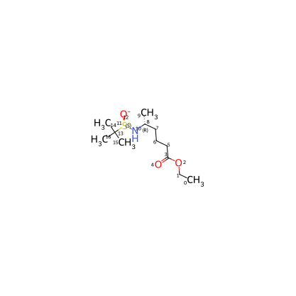 CCOC(=O)CCC[C@@H](C)N[S@+]([O-])C(C)(C)C